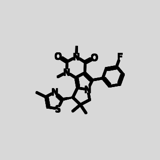 Cc1csc([C@H]2c3c4c(c(-c5cccc(F)c5)n3CC2(C)C)c(=O)n(C)c(=O)n4C)n1